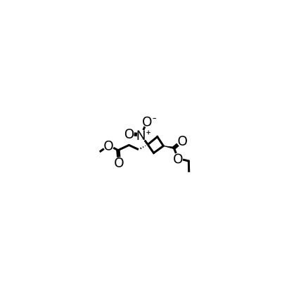 CCOC(=O)[C@H]1C[C@@](CCC(=O)OC)([N+](=O)[O-])C1